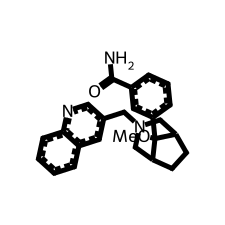 COC1(c2cccc(C(N)=O)c2)C2CCC1CN(Cc1cnc3ccccc3c1)C2